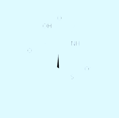 CC[S+]([O-])C[C@H](NC(C)=O)C(=O)O